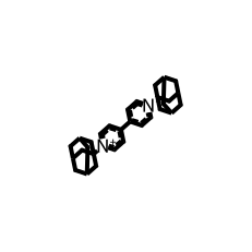 c1c[n+](C23CC4CC(CC(C4)C2)C3)ccc1-c1cc[n+](C23CC4CC(CC(C4)C2)C3)cc1